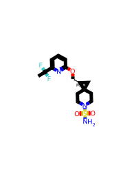 CC(F)(F)c1cccc(OC[C@@H]2CC23CCN(S(N)(=O)=O)CC3)n1